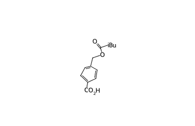 CCC(C)C(=O)OCc1ccc(C(=O)O)cc1